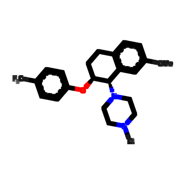 CCN1CCN([C@H]2c3cc(OC)ccc3CC[C@@H]2Oc2ccc(C(F)(F)F)cc2)CC1